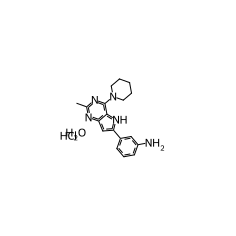 Cc1nc(N2CCCCC2)c2[nH]c(-c3cccc(N)c3)cc2n1.Cl.O